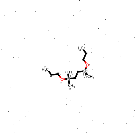 CCCO[SiH](C)CC[Si](C)(C)OCCC